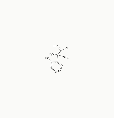 C=C(Cl)C(C)(C)c1ccccc1O